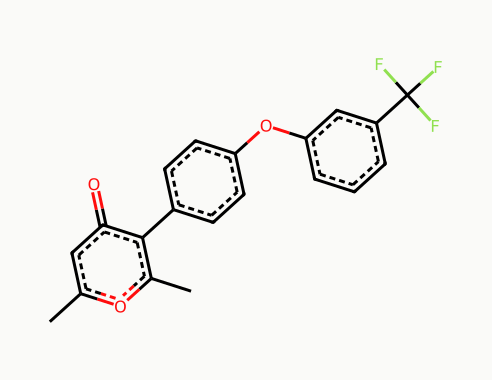 Cc1cc(=O)c(-c2ccc(Oc3cccc(C(F)(F)F)c3)cc2)c(C)o1